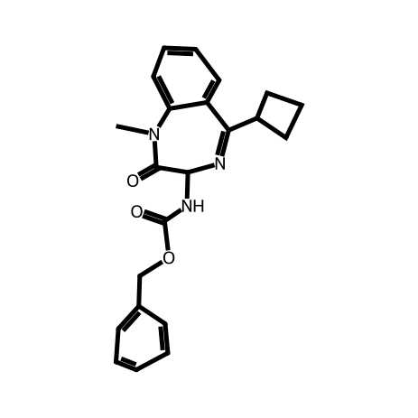 CN1C(=O)C(NC(=O)OCc2ccccc2)N=C(C2CCC2)c2ccccc21